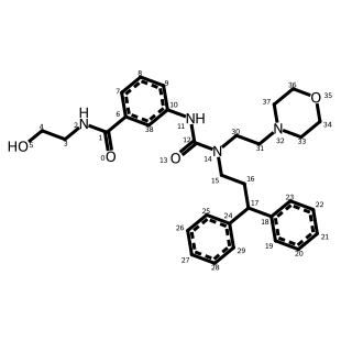 O=C(NCCO)c1cccc(NC(=O)N(CCC(c2ccccc2)c2ccccc2)CCN2CCOCC2)c1